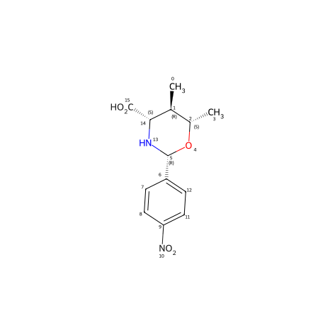 C[C@H]1[C@H](C)O[C@H](c2ccc([N+](=O)[O-])cc2)N[C@@H]1C(=O)O